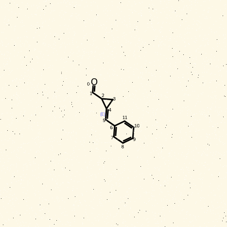 O=CC1C/C1=C\c1ccccc1